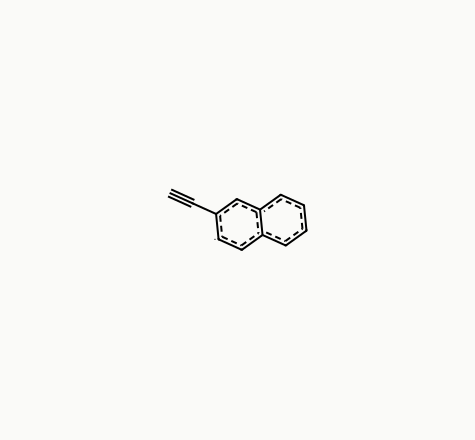 C#Cc1[c]cc2ccccc2c1